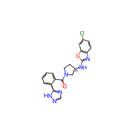 O=C(c1ccccc1-c1ncn[nH]1)N1CC[C@@H](Nc2nc3ccc(Cl)cc3o2)C1